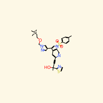 Cc1ccc(S(=O)(=O)n2cc(-c3cnn(COCC[Si](C)(C)C)c3)c3cc(C#CC(C)(O)c4nccs4)ncc32)cc1